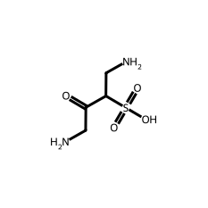 NCC(=O)C(CN)S(=O)(=O)O